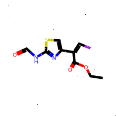 CCOC(=O)C(=CI)c1csc(NC=O)n1